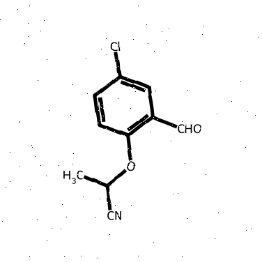 CC(C#N)Oc1ccc(Cl)cc1C=O